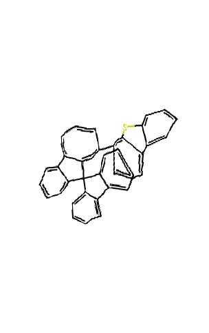 c1ccc2c(c1)-c1ccccc1C21c2ccccc2-c2cccc(-c3cccc4c3sc3ccccc34)c21